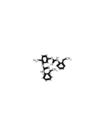 CCc1ccccc1NC(=S)Oc1ccc(C)c(OC(=S)Nc2ccccc2CC)c1